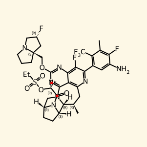 CC[C@@H](OS(=O)(=O)CC)C(=O)N1[C@@H]2CC[C@H]1[C@H]1[C@H](C)Cc3nc(-c4cc(N)c(F)c(C)c4C(F)(F)F)c(F)c4nc(OC[C@@]56CCCN5C[C@H](F)C6)nc(c34)N1C2